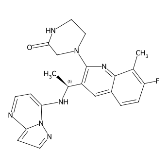 Cc1c(F)ccc2cc([C@H](C)Nc3ccnc4ccnn34)c(N3CCNC(=O)C3)nc12